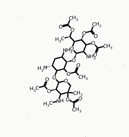 CNC1[C@@H](OC(C)=O)C(OC2C(OC(C)=O)[C@H](O[C@H]3OC([C@@H](C)OC(C)=O)[C@@H](OC(C)=O)C(OC(C)=O)C3N)C(N)C[C@H]2N)OCC1(C)OC(C)=O